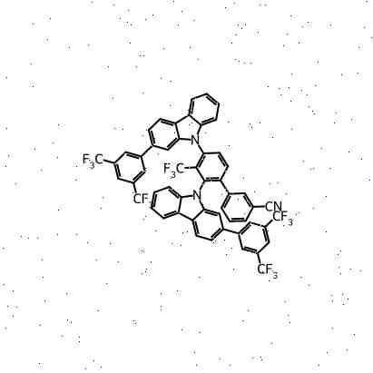 N#Cc1cccc(-c2ccc(-n3c4ccccc4c4ccc(-c5cc(C(F)(F)F)cc(C(F)(F)F)c5)cc43)c(C(F)(F)F)c2-n2c3ccccc3c3ccc(-c4cc(C(F)(F)F)cc(C(F)(F)F)c4)cc32)c1